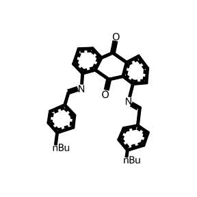 CCCCc1ccc(C=Nc2cccc3c2C(=O)c2c(N=Cc4ccc(CCCC)cc4)cccc2C3=O)cc1